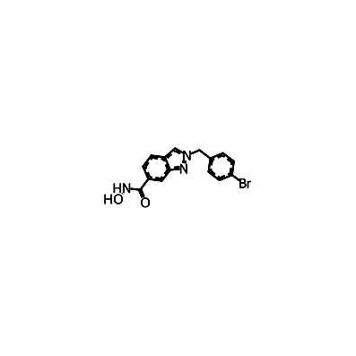 O=C(NO)c1ccc2cn(Cc3ccc(Br)cc3)nc2c1